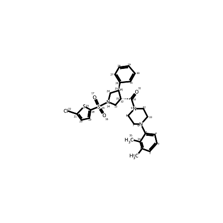 Cc1cccc(N2CCN(C(=O)[C@@H]3CN(S(=O)(=O)c4ccc(Cl)s4)C[C@H]3c3ccccc3)CC2)c1C